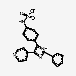 O=S(=O)(Nc1ccc(-c2[nH]c(-c3ccccc3)nc2-c2ccncc2)cc1)C(F)(F)F